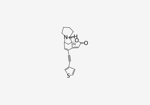 O=C1C=C2C(C#Cc3ccsc3)=CC3C[C@@]2(O1)[C@H]1CCCCN31